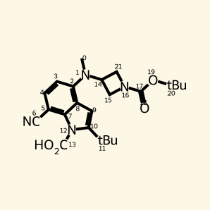 CN(c1ccc(C#N)c2c1cc(C(C)(C)C)n2C(=O)O)C1CN(C(=O)OC(C)(C)C)C1